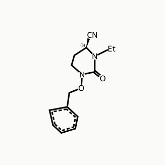 CCN1C(=O)N(OCc2ccccc2)CC[C@H]1C#N